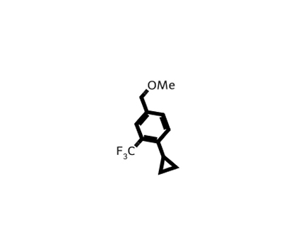 COCc1ccc(C2CC2)c(C(F)(F)F)c1